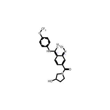 CC/N=C1/C=C(C(=O)N2CCC(O)C2)C=C/C1=C(/C)Nc1ccc(OC(F)(F)F)cc1